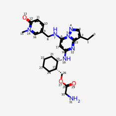 CCc1cnn2c(NCc3ccc(=O)n(C)c3)cc(N[C@H]3CCCC[C@H]3COC(=O)CN)nc12